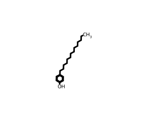 CCCCCCCCCCCCCCc1ccc(O)cc1